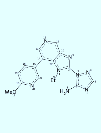 CCn1c(-n2ncnc2N)nc2cncc(-c3ccc(OC)nc3)c21